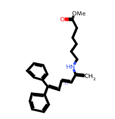 C=C(/C=C/C=C(c1ccccc1)c1ccccc1)NCCCCCC(=O)OC